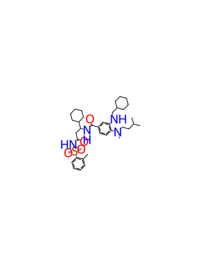 Cc1ccccc1S(=O)(=O)NC(=O)CC(NC(=O)c1ccc(N(C)CCC(C)C)c(NCC2CCCCC2)c1)C1CCCCC1